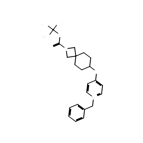 CC(C)(C)OC(=O)N1CC2(CCC(Oc3cc[n+](Cc4ccccc4)cc3)CC2)C1